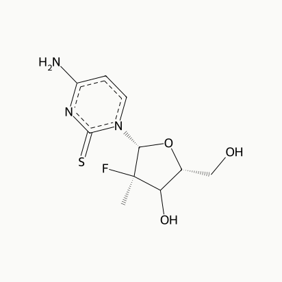 C[C@@]1(F)C(O)[C@@H](CO)O[C@H]1n1ccc(N)nc1=S